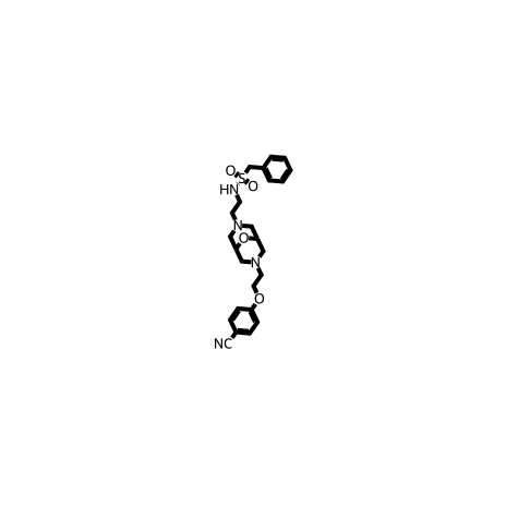 N#Cc1ccc(OCCN2CC3CN(CCNS(=O)(=O)Cc4ccccc4)CC(C2)O3)cc1